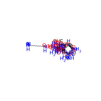 CCCC[C@H](NC(=O)[C@H](CNC(=O)CN(CC(=O)O)CC(=O)O)NC(=O)[C@H](Cc1c[nH]cn1)NC(=O)[C@H](CCC(N)=O)NC(=O)[C@H](CO)NC(=O)CNC(=O)COCCOCCNC(=O)CCCCCCCCCCCCCCCc1nnn[nH]1)C(=O)N[C@H]1CCC(=O)NCCCC[C@@H](C(N)=O)NC(=O)[C@H](Cc2c[nH]c3ccccc23)NC(=O)[C@H](CCCNC(=N)N)NC(=O)[C@@H](Cc2ccccc2)NC(=O)[C@@H]2C[C@@H](O)CN2C1=O